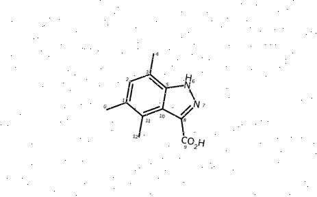 Cc1cc(C)c2[nH]nc(C(=O)O)c2c1C